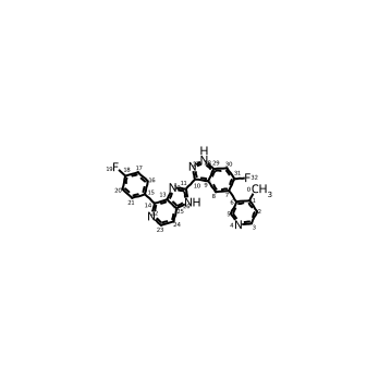 Cc1ccncc1-c1cc2c(-c3nc4c(-c5ccc(F)cc5)nccc4[nH]3)n[nH]c2cc1F